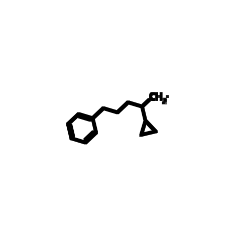 [CH2]C(CCCc1ccccc1)C1CC1